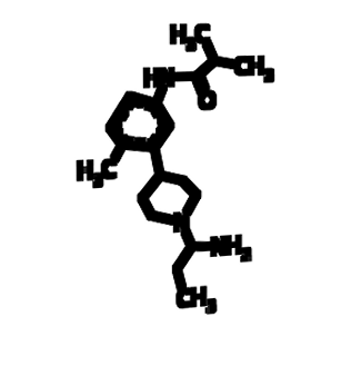 CCC(N)N1CCC(c2cc(NC(=O)C(C)C)ccc2C)CC1